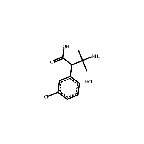 CC(C)(N)C(C(=O)O)c1cccc(Cl)c1.Cl